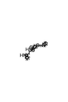 O=S(=O)(NCCCc1c[nH]c2ccccc12)c1ccc(OCCCN2CCOCC2)cc1